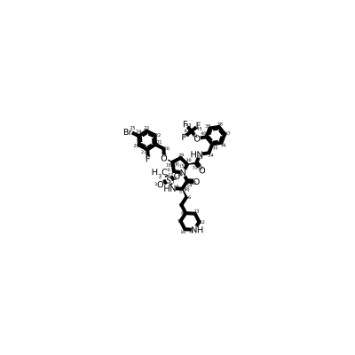 CS(=O)(=O)N[C@H](CCC1CCNCC1)C(=O)N1C[C@H](OCc2ccc(Br)cc2F)C[C@H]1C(=O)NCc1ccccc1OC(F)(F)F